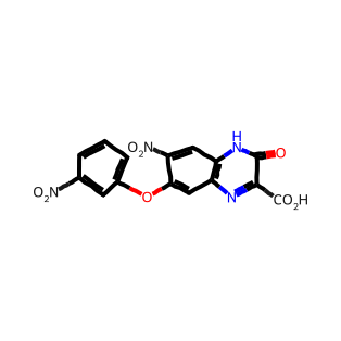 O=C(O)c1nc2cc(Oc3cccc([N+](=O)[O-])c3)c([N+](=O)[O-])cc2[nH]c1=O